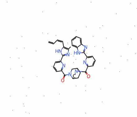 C=C/C=C\c1[nH]c(-c2cccc(C(=O)N3CC4CCC3CN4C(=O)c3cccc(-c4nc5ccccc5[nH]4)n3)n2)nc1C